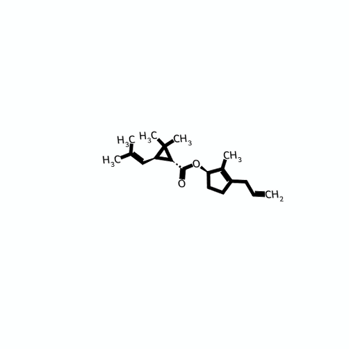 C=CCC1=C(C)[C@H](OC(=O)[C@@H]2[C@@H](C=C(C)C)C2(C)C)CC1